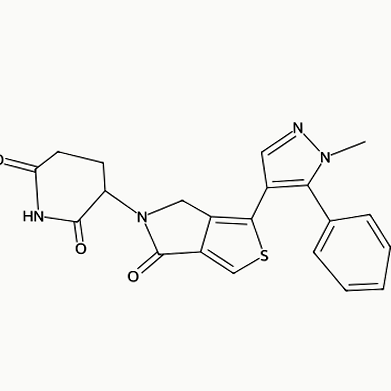 Cn1ncc(-c2scc3c2CN(C2CCC(=O)NC2=O)C3=O)c1-c1ccccc1